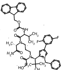 CC(C)[C@H](NC(=O)OCC1c2ccccc2-c2ccccc21)C(=O)N(CCCN(C(=O)CO)[C@@H](c1cc(-c2cc(F)ccc2F)cn1Cc1ccccc1)C(C)(C)C)[C@@H](C)C(N)=O